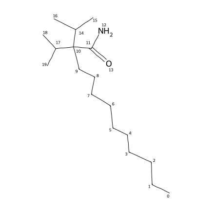 CCCCCCCCCCC(C(N)=O)(C(C)C)C(C)C